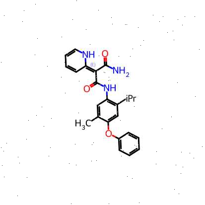 Cc1cc(NC(=O)/C(C(N)=O)=C2\C=CC=CN2)c(C(C)C)cc1Oc1ccccc1